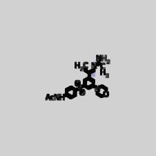 C=C/C(=C\N=C(/C)N)c1cc(N2CCOCC2)cc(S(=O)(=O)c2ccc(NC(C)=O)cc2)c1